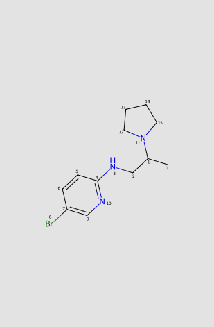 CC(CNc1ccc(Br)cn1)N1CCCC1